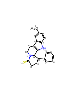 COc1ccc2[nH]c3c(c2c1)CCN1C(=S)CCC(c2ccccc2)C31